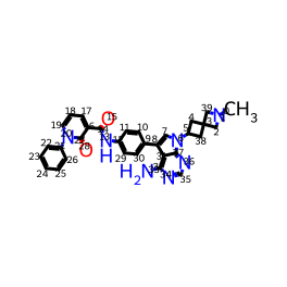 CN1CC2(CC(n3cc(-c4ccc(NC(=O)c5cccn(-c6ccccc6)c5=O)cc4)c4c(N)ncnc43)C2)C1